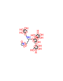 C[C@@H]1O[C@@H](OCCNCC(CCCC(=O)ON2C(=O)CCC2=O)CCO[C@H]2O[C@H](CO[C@H]3O[C@H](CO)[C@@H](O)[C@H](O)[C@@H]3O)[C@@H](O)[C@H](O[C@H]3O[C@H](CO)[C@@H](O)[C@H](O)[C@@H]3O)[C@@H]2O)[C@@H](O)[C@H](O)[C@@H]1O